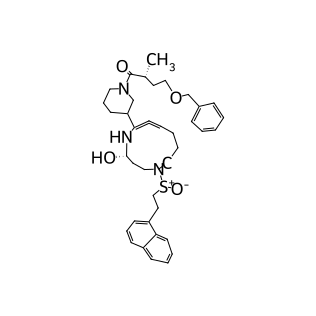 C[C@H](CCOCc1ccccc1)C(=O)N1CCCC(C2=C=CCCCN([S+]([O-])CCc3cccc4ccccc34)CC[C@H](O)N2)C1